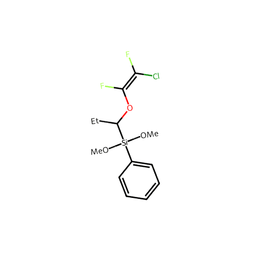 CCC(OC(F)=C(F)Cl)[Si](OC)(OC)c1ccccc1